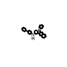 C1=C(Nc2ccc(-c3ccccc3)cc2)CCc2c1c1cc3ccccc3cc1n2-c1ccccc1